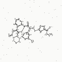 COC(=O)c1csc(CONC(=O)[C@@H]2c3ccccc3C(=O)N([C@H]3CCCC[C@@H]3N=O)[C@H]2c2ccc(Cl)cc2)c1